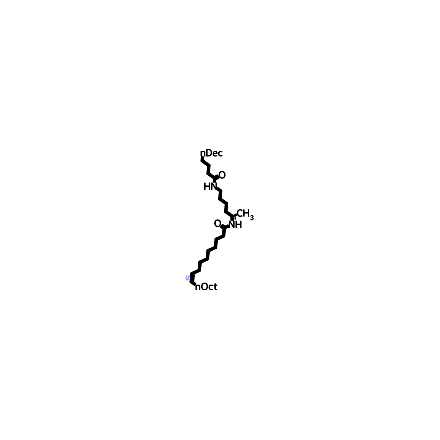 CCCCCCCC/C=C\CCCCCCCC(=O)N[C@H](C)CCCCNC(=O)CCCCCCCCCCCCC